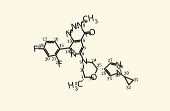 C[C@@H]1CN(c2cc3c(=O)n(C)nnc3c(-c3ccc(F)cc3F)n2)C[C@H](c2cnn(C3CC3)c2)O1